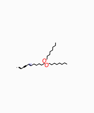 [CH]=CC#C/C=C/CCCCC(OCCCCCCCC)OCCCCCCCC